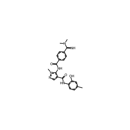 Cc1ccc(NC(=O)c2cnn(C)c2NC(=O)c2ccc(C(=N)N(C)C)cc2)c(O)c1